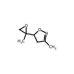 CC1=NOC(C2(C)CO2)C1